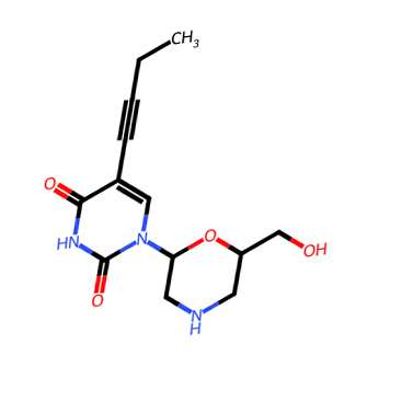 CCC#Cc1cn(C2CNCC(CO)O2)c(=O)[nH]c1=O